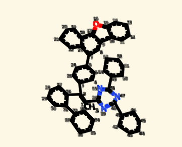 C/C(=C(/c1ccc(-c2cc3c4ccccc4oc3c3ccccc23)cc1)c1ccccc1-c1ccccc1)c1nc(-c2ccccc2)nc(-c2ccccc2)n1